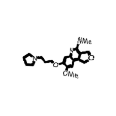 CNc1nc2cc(OCCCN3CCCC3)c(OC)cc2c2c1COC2